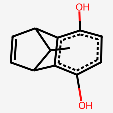 CC1C2C=CC1c1c(O)ccc(O)c12